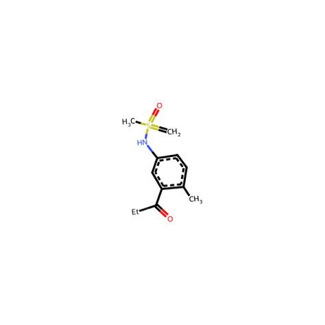 C=S(C)(=O)Nc1ccc(C)c(C(=O)CC)c1